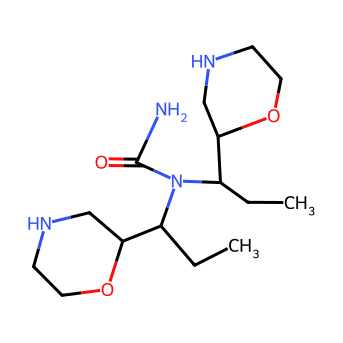 CCC(C1CNCCO1)N(C(N)=O)C(CC)C1CNCCO1